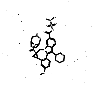 COc1ccc2c(c1)C1CC1(C(=O)N1C3CCC1CNC3)Cn1c-2c(C2CCCCC2)c2ccc(C(=O)NS(=O)(=O)N(C)C)cc21